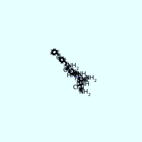 NN=NC1=C(Cl)N=C(C(=O)/N=C2/NC3(CCN(C(=O)N(N)CCc4ccc(OCc5ccccc5)cc4)CC3)CN2N)C(N=NN)N1